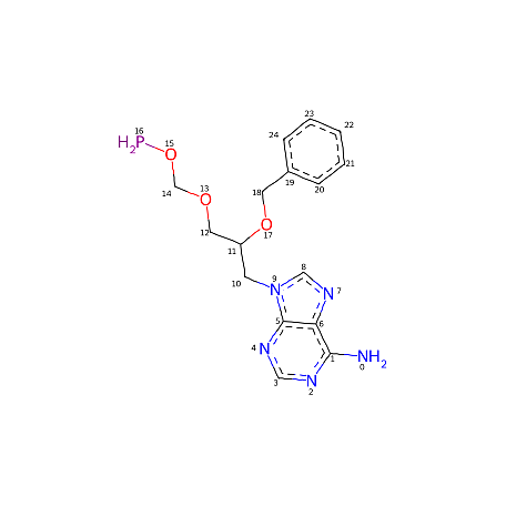 Nc1ncnc2c1ncn2CC(COCOP)OCc1ccccc1